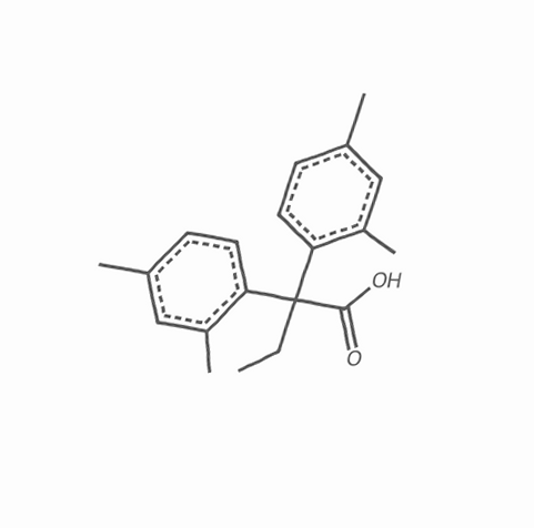 CCC(C(=O)O)(c1ccc(C)cc1C)c1ccc(C)cc1C